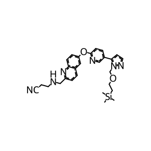 C[Si](C)(C)CCOCn1nccc1-c1ccc(Oc2ccc3nc(CNCCC#N)ccc3c2)nc1